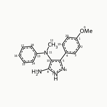 COc1ccc(-c2n[nH]c(N)c2N(C)c2ccccc2)cc1